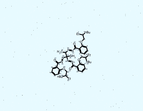 CCCCC(CC)COc1ccccc1C(=O)N=NC(C)C([SiH3])(N=NC(=O)c1ccccc1OCC(CC)CCCC)N=NC(=O)c1ccccc1OCC(CC)CCCC